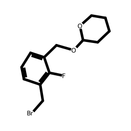 Fc1c(CBr)cccc1COC1CCCCO1